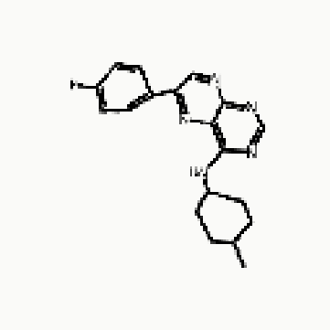 CC1CCC(Nc2ncnc3ncc(-c4ccc(F)cc4)nc23)CC1